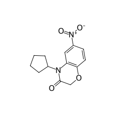 O=C1COc2ccc([N+](=O)[O-])cc2N1C1CCCC1